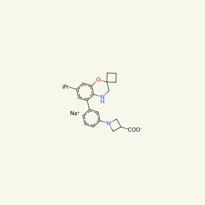 CC(C)c1cc2c(c(-c3cccc(N4CC(C(=O)[O-])C4)c3)c1)NCC1(CCC1)O2.[Na+]